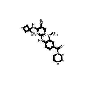 COc1cc(C(=O)N2CCOCC2)ccc1Nc1ncc(Cl)c(NC2(C)CCC2)n1